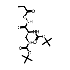 CCC(=O)ONC(=O)[C@H](CNC(=O)OC(C)(C)C)NC(=O)OC(C)(C)C